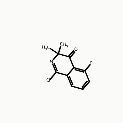 CC1(C)N=C(Cl)c2cccc(F)c2C1=O